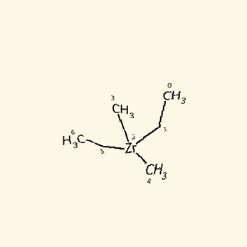 C[CH2][Zr]([CH3])([CH3])[CH2]C